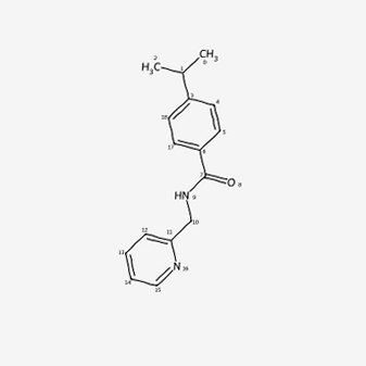 CC(C)c1ccc(C(=O)NCc2ccccn2)cc1